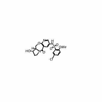 COc1ccc(Cl)cc1S(=O)(=O)Nc1cnc2c(c1)C(=O)N1CC[C@@H](O)[C@@H]1CO2